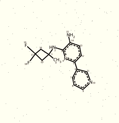 CC1(Nc2nc(-c3cccnc3)ccc2N)CC(F)(F)C1